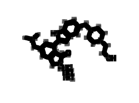 CN(C)Cc1cc2c(c(-c3cc4cc(CN5CCN(CCO)CC5)ccc4[nH]3)c1)C(=O)NC2.Cl.Cl.Cl